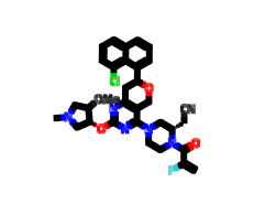 C=C(F)C(=O)N1CCN(c2nc(O[C@@H]3CN(C)CC3OC)nc3c2COC(c2cccc4cccc(Cl)c24)C3)C[C@@H]1CC#N